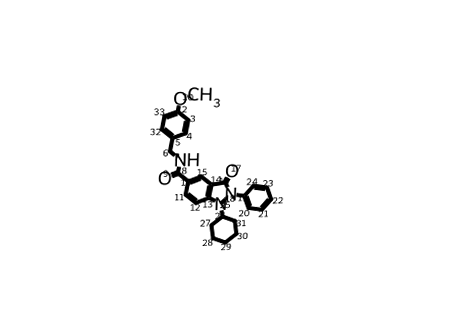 COc1ccc(CNC(=O)c2ccc3c(c2)c(=O)n(-c2ccccc2)n3C2CCCCC2)cc1